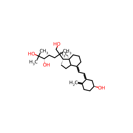 C=C1CC[C@H](O)C/C1=C/C=C1CCC[C@@]2(C)C1CC[C@@H]2[C@@](C)(CO)CC[C@H](O)C(C)(C)O